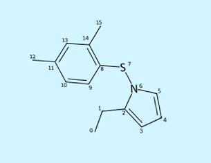 CCc1cccn1Sc1ccc(C)cc1C